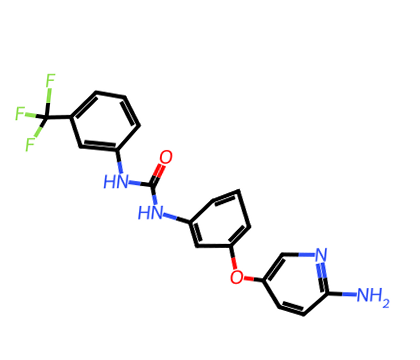 Nc1ccc(Oc2cccc(NC(=O)Nc3cccc(C(F)(F)F)c3)c2)cn1